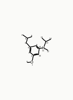 COc1cc(CC(C)C)cc(N(C)C(C)C)c1